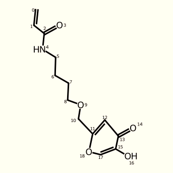 C=CC(=O)NCCCCOCc1cc(=O)c(O)co1